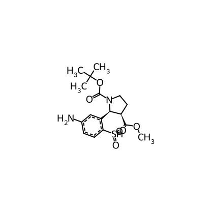 COC(=O)[C@@H]1CCN(C(=O)OC(C)(C)C)[C@@H]1c1cc(N)ccc1[SH](=O)=O